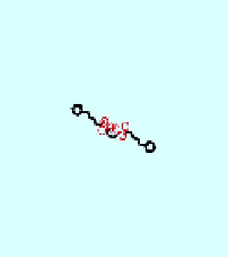 O=C(C=CC=Cc1ccccc1)OC(=O)/C=C\C(=O)OC(=O)C=CC=Cc1ccccc1